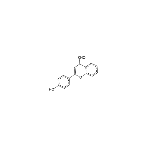 O=CC1C=C(c2ccc(O)cc2)Oc2ccccc21